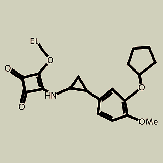 CCOc1c(NC2CC2c2ccc(OC)c(OC3CCCC3)c2)c(=O)c1=O